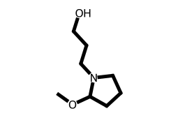 COC1CCCN1CCCO